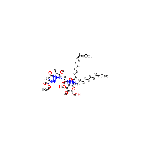 CCCCCCCC/C=C\CCCCCCCC(=O)N(CCCCCCCCCCCCCCCCCC)[C@@H]1O[C@H](CO)[C@@H](O)[C@H](O)[C@H]1NC(=O)CNC(=O)[C@H](C)NC(=O)[C@H](C)NC(=O)OC(C)(C)C